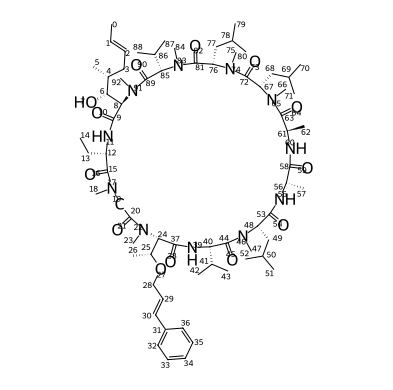 C/C=C/C[C@@H](C)[C@@H](O)[C@@H]1C(=O)N[C@@H](CC)C(=O)N(C)CC(=O)N(C)[C@@H]([C@@H](C)OC/C=C/c2ccccc2)C(=O)N[C@@H](C(C)C)C(=O)N(C)[C@@H](CC(C)C)C(=O)N[C@@H](C)C(=O)N[C@H](C)C(=O)N(C)[C@@H](CC(C)C)C(=O)N(C)[C@@H](CC(C)C)C(=O)N(C)[C@@H](C(C)C)C(=O)N1C